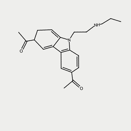 CCCNCCn1c2c(c3cc(C(C)=O)ccc31)=CC(C(C)=O)CC=2